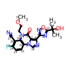 COCCn1c(=O)c2c(-c3noc(C(C)(C)O)n3)ncn2c2ccc(F)c(C#N)c21